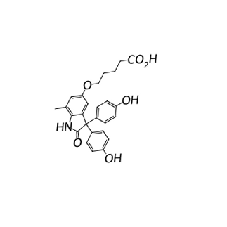 Cc1cc(OCCCCC(=O)O)cc2c1NC(=O)C2(c1ccc(O)cc1)c1ccc(O)cc1